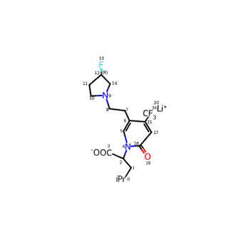 CC(C)CC(C(=O)[O-])n1cc(CCN2CC[C@@H](F)C2)c(C(F)(F)F)cc1=O.[Li+]